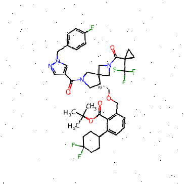 CC(C)(C)OC(=O)c1c(COC[C@@H]2CN(C(=O)c3cnn(Cc4ccc(F)cc4)c3)CC23CN(C(=O)C2(C(F)(F)F)CC2)C3)cccc1C1CCC(F)(F)CC1